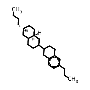 CCCC[C@@H]1CC[C@@H]2CC(C3CCc4cc(CCC)ccc4C3)CCC2C1